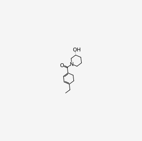 CCC1=CC=C(C(=O)N2CCC[C@@H](O)C2)CC1